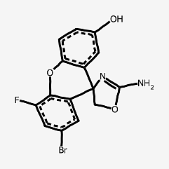 NC1=NC2(CO1)c1cc(O)ccc1Oc1c(F)cc(Br)cc12